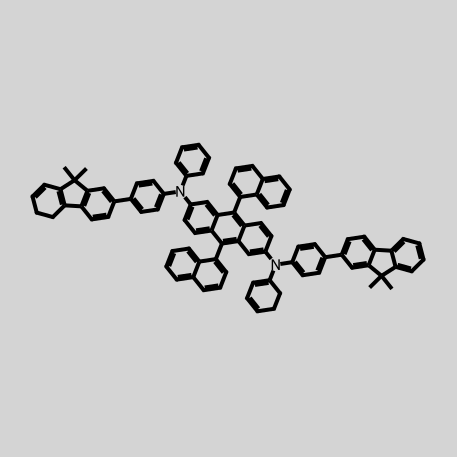 CC1(C)C2=C(CCC=C2)c2ccc(-c3ccc(N(c4ccccc4)c4ccc5c(-c6cccc7ccccc67)c6cc(N(C7=CC=CCC7)c7ccc(-c8ccc9c(c8)C(C)(C)c8ccccc8-9)cc7)ccc6c(-c6cccc7ccccc67)c5c4)cc3)cc21